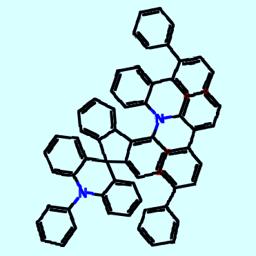 c1ccc(-c2ccc(-c3ccccc3N(c3ccccc3-c3ccccc3-c3ccccc3)c3cccc4c3-c3ccccc3C43c4ccccc4N(c4ccccc4)c4ccccc43)cc2)cc1